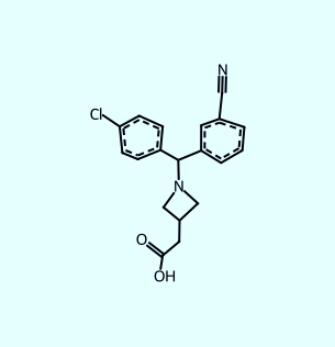 N#Cc1cccc(C(c2ccc(Cl)cc2)N2CC(CC(=O)O)C2)c1